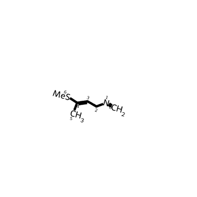 C=NCC=C(C)SC